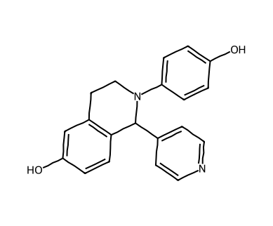 Oc1ccc(N2CCc3cc(O)ccc3C2c2ccncc2)cc1